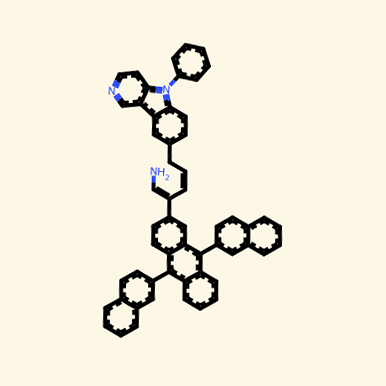 N/C=C(\C=C/Cc1ccc2c(c1)c1cnccc1n2-c1ccccc1)c1ccc2c(-c3ccc4ccccc4c3)c3ccccc3c(-c3ccc4ccccc4c3)c2c1